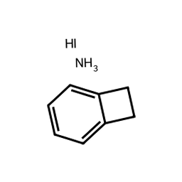 I.N.c1ccc2c(c1)CC2